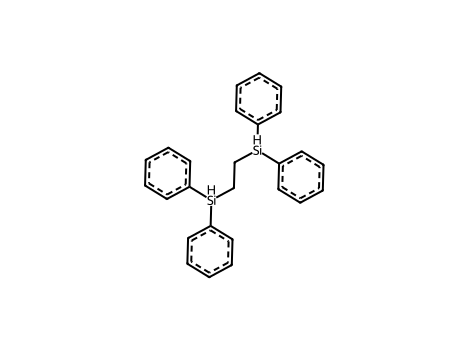 c1ccc([SiH](CC[SiH](c2ccccc2)c2ccccc2)c2ccccc2)cc1